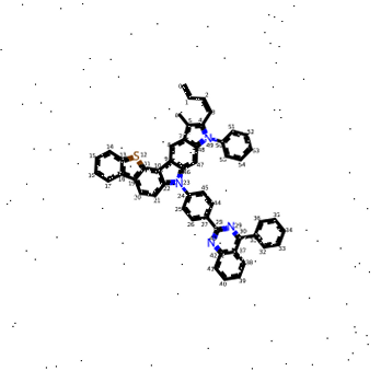 C=C/C=C\c1c(C)c2cc3c4c5sc6ccccc6c5ccc4n(-c4ccc(-c5nc(-c6ccccc6)c6ccccc6n5)cc4)c3cc2n1-c1ccccc1